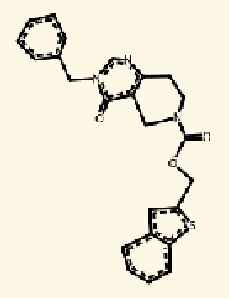 O=C(OCc1cc2ccccc2s1)N1CCc2ncn(Cc3ccccc3)c(=O)c2C1